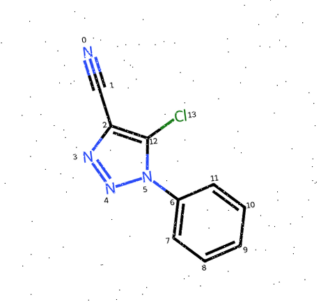 N#Cc1nnn(-c2ccccc2)c1Cl